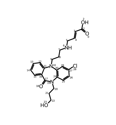 O=C(O)/C=C/CNCCCN1c2ccccc2C(=O)N(CCCO)c2ccc(Cl)cc21